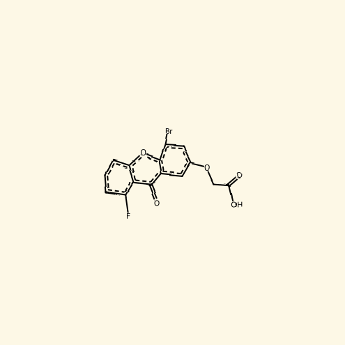 O=C(O)COc1cc(Br)c2oc3cccc(F)c3c(=O)c2c1